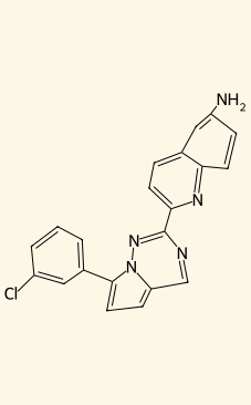 Nc1ccc2nc(-c3ncc4ccc(-c5cccc(Cl)c5)n4n3)ccc2c1